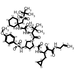 C=CCNC(=O)C(=O)C(CC1CC1)NC(=O)[C@@H]1C[C@@H](NS(=O)(=O)c2ccc(OC)cc2)CN1C(=O)[C@@H](NC(=O)NC1(CS(=O)(=O)C(C)(C)C)CCCCC1)C(C)(C)C